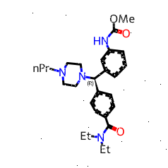 CCCN1CCN([C@H](c2ccc(C(=O)N(CC)CC)cc2)c2cccc(NC(=O)OC)c2)CC1